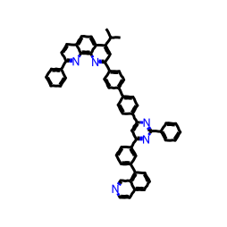 CC(C)c1cc(-c2ccc(-c3ccc(-c4cc(-c5cccc(-c6cccc7ccncc67)c5)nc(-c5ccccc5)n4)cc3)cc2)nc2c1ccc1ccc(-c3ccccc3)nc12